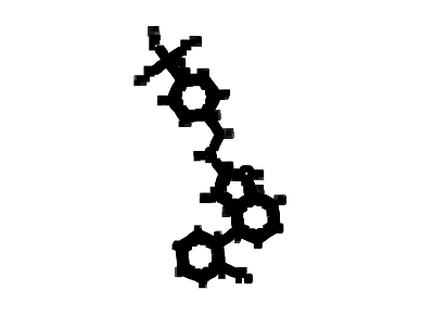 Fc1ccccc1-c1cccc2oc(SCc3ccc(C(F)(F)F)cc3)nc12